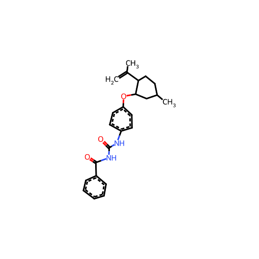 C=C(C)C1CCC(C)CC1Oc1ccc(NC(=O)NC(=O)c2ccccc2)cc1